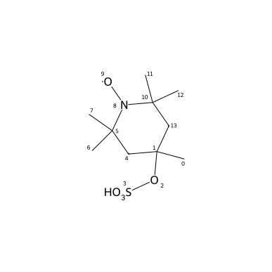 CC1(OS(=O)(=O)O)CC(C)(C)N([O])C(C)(C)C1